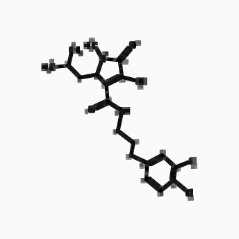 CC(C)CC1C(C(=O)NCCCc2ccc(Cl)c(Cl)c2)=C(O)C(=O)N1C